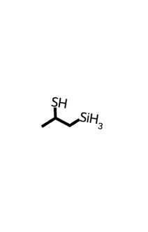 CC(S)C[SiH3]